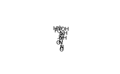 C=C(Nc1cc2c(cc1F)/C(=C/c1[nH]c3c(c1C)C(=O)N(CCN1CCOCC1)CC3)C(=O)N2)C(C)(C)O